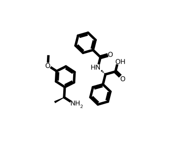 COc1cccc([C@H](C)N)c1.O=C(N[C@H](C(=O)O)c1ccccc1)c1ccccc1